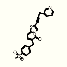 CS(=O)(=O)c1ccc(Cc2ccc3sc(C#CCc4cccnc4)cn3c2=O)cc1